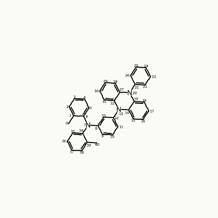 Cc1ccccc1N(c1cccc(N2c3ccccc3N(c3ccccc3)c3ccccc32)c1)c1ccccc1C